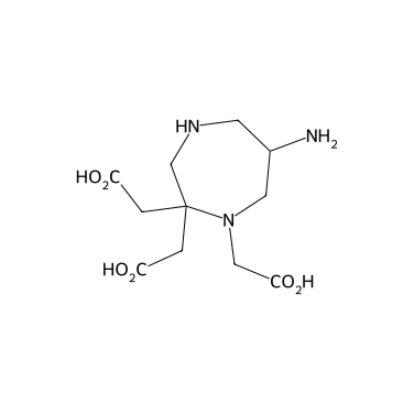 NC1CNCC(CC(=O)O)(CC(=O)O)N(CC(=O)O)C1